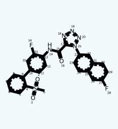 CS(=O)(=O)c1ccccc1-c1ccc(NC(=O)c2nnnn2-c2ccc3cc(F)ccc3c2)c(F)c1